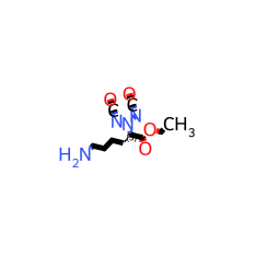 CCOC(=O)[C@H](CCCCN)N(N=C=O)N=C=O